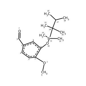 COc1ccc(C=O)cc1O[Si](C)(C)C(C)(C)C(C)C